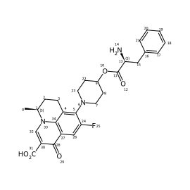 C[C@H]1CCc2c(N3CCC(OC(=O)[C@@H](N)Cc4ccccc4)CC3)c(F)cc3c(=O)c(C(=O)O)cn1c23